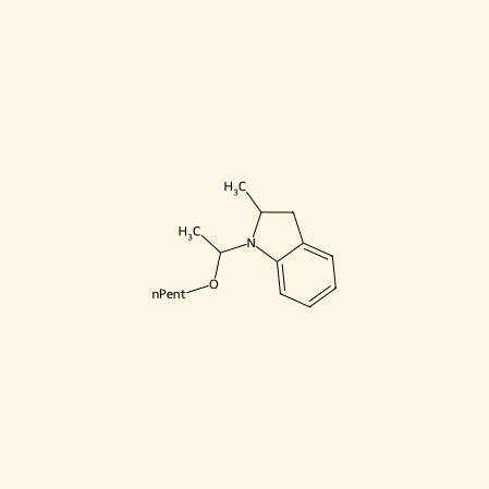 CCCCCOC(C)N1c2ccccc2CC1C